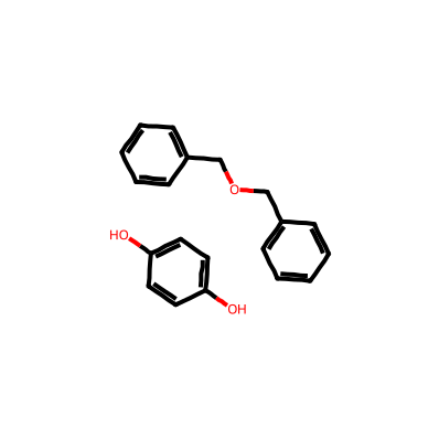 Oc1ccc(O)cc1.c1ccc(COCc2ccccc2)cc1